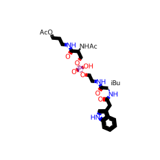 CC[C@H](C)[C@H](NC(=O)Cc1c[nH]c2ccccc12)C(=O)NCCOP(=O)(O)OC[C@H](NC(C)=O)C(=O)NCCCOC(C)=O